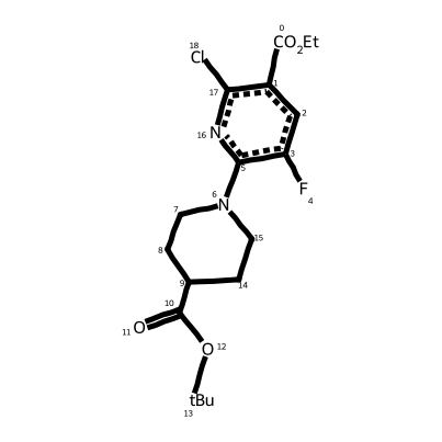 CCOC(=O)c1cc(F)c(N2CCC(C(=O)OC(C)(C)C)CC2)nc1Cl